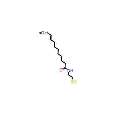 CCCCCCCCC=CCCCCCCCC(=O)NCCS